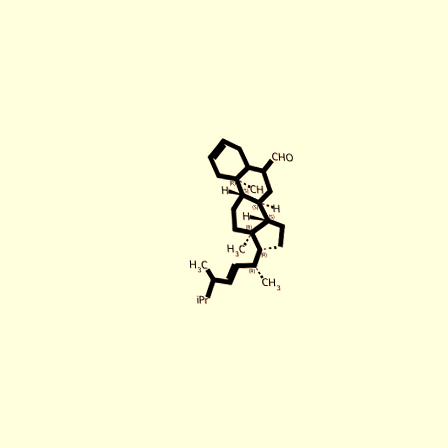 CC(C)C(C)C=C[C@@H](C)[C@H]1CC[C@H]2[C@@H]3CC(C=O)C4CC=CC[C@]4(C)[C@H]3CC[C@]12C